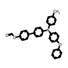 Cc1ccc(N(c2ccc(Oc3ccccc3)cc2)c2ccc(-c3ccc(OC=O)cc3)cc2)cc1